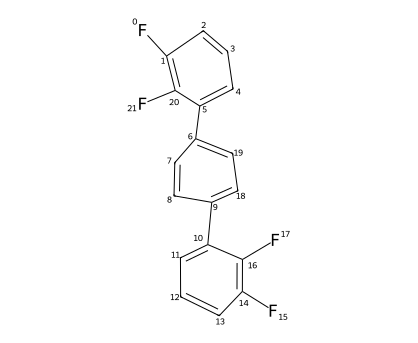 Fc1cccc(-c2ccc(-c3cccc(F)c3F)cc2)c1F